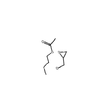 CCCCOC(C)=O.ClCC1CO1